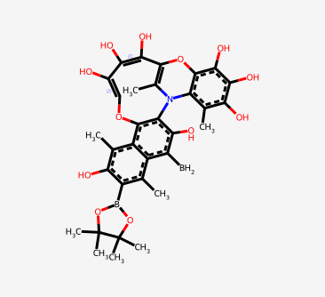 Bc1c(O)c2c(c3c(C)c(O)c(B4OC(C)(C)C(C)(C)O4)c(C)c13)O/C=C(O)/C(O)=C(/O)C1=C(C)N2c2c(C)c(O)c(O)c(O)c2O1